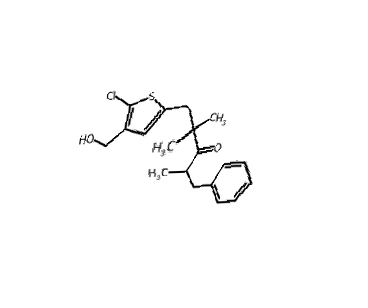 CC(Cc1ccccc1)C(=O)C(C)(C)Cc1cc(CO)c(Cl)s1